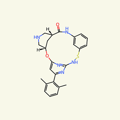 Cc1cccc(C)c1-c1cc2nc(n1)NSc1cccc(c1)NC(=O)[C@H]1CNC[C@H](C1)O2